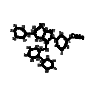 COc1cccc(-c2nc3ncc(-c4ccccc4)cc3n2Cc2ccccc2-c2ccccc2)c1